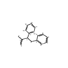 C=C(C)C(Cc1ccccc1)c1ccccc1